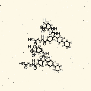 Cc1ccc(NC(=O)NC(c2ccc(C(=O)NCCC(=O)O)cc2)C2CCC(C3CCCCC3)CC2)cc1[N+](=O)[O-].Cc1ccc(NC(=O)NC(c2ccc(C(=O)NCCC(=O)O)cc2)c2ccc(C3CCCCC3)cc2)cc1[N+](=O)[O-]